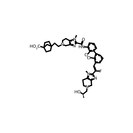 C[C@@H](O)CN1CCc2c(nc(/C(F)=C/c3cccc(-c4cccc(NC(=O)c5nc6c(n5C)CCN(CCC57CCC(C(=O)O)(CC5)C7)C6)c4Cl)c3Cl)n2C)C1